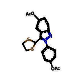 CC(=O)Oc1ccc(-n2nc3ccc(OC(C)=O)cc3c2C2SCCS2)cc1